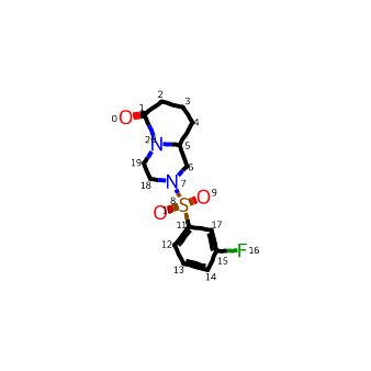 O=C1CCCC2CN(S(=O)(=O)c3cccc(F)c3)CCN12